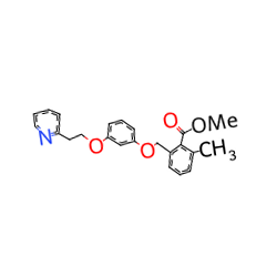 COC(=O)c1c(C)cccc1COc1cccc(OCCc2ccccn2)c1